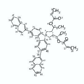 C=CC(=O)OC(C)CCC1(CCC(C)OC(=O)C=C)c2ccc(-c3ccc4ccccc4c3)cc2-c2cc(-c3ccc4ccccc4c3)ccc21